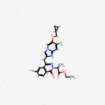 CCOC(=O)C(C)n1nc(Cc2cn3cc(OCC4CC4)c(Cl)cc3n2)c2cc(F)ccc2c1=O